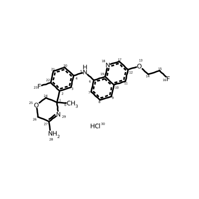 CC1(c2cc(Nc3cccc4cc(OCCF)cnc34)ccc2F)COCC(N)=N1.Cl